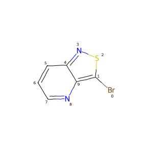 Brc1snc2cccnc12